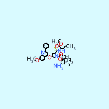 CCCC(NC(=S)C1CC(Oc2cc(-c3ccccc3)nc3cc(OC)ccc23)CN1C(=O)OC(C)(C)C)C(=O)OC.N